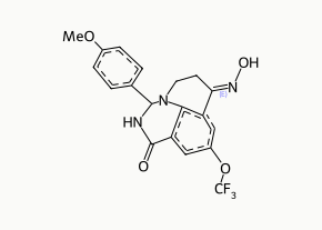 COc1ccc(C2NC(=O)c3cc(OC(F)(F)F)cc4c3N2CC/C4=N\O)cc1